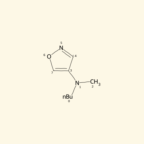 CCCCN(C)c1[c]noc1